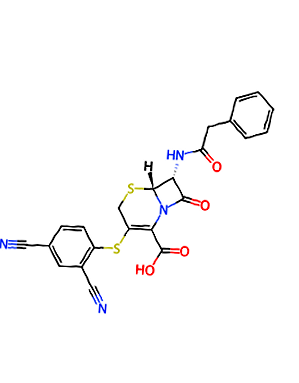 N#Cc1ccc(SC2=C(C(=O)O)N3C(=O)[C@@H](NC(=O)Cc4ccccc4)[C@H]3SC2)c(C#N)c1